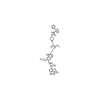 COc1cc(NC(=O)CCCCN(C)C(=O)CCN2CCC(OC(=O)Nc3ncsc3-c3ccccc3)CC2)c(Cl)cc1CNC[C@H](O)c1ccc(O)c2[nH]c(=O)ccc12